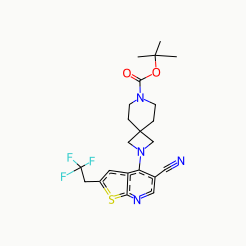 CC(C)(C)OC(=O)N1CCC2(CC1)CN(c1c(C#N)cnc3sc(CC(F)(F)F)cc13)C2